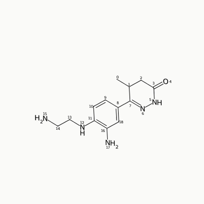 CC1CC(=O)NN=C1c1ccc(NCCN)c(N)c1